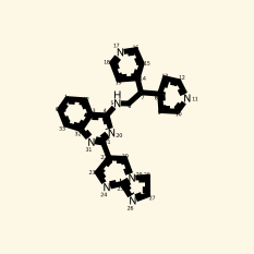 c1ccc2c(NCC(c3ccncc3)c3ccncc3)nc(-c3cnc4nccn4c3)nc2c1